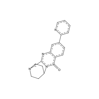 O=c1c2ccc(-c3ccccn3)cc2nc2n1C1CCN(CC1)C2